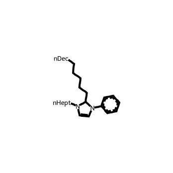 CCCCCCCCCCCCCCCC1N(CCCCCCC)C=CN1c1ccccc1